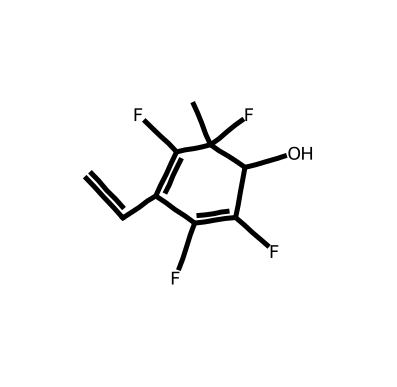 C=CC1=C(F)C(C)(F)C(O)C(F)=C1F